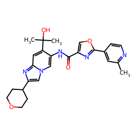 Cc1cc(-c2nc(C(=O)Nc3cn4cc(C5CCOCC5)nc4cc3C(C)(C)O)co2)ccn1